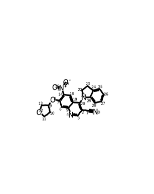 N#Cc1cnc2cc(OC3CCOC3)c([N+](=O)[O-])cc2c1N1CCc2ccccc21